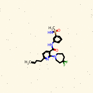 C=CCCc1ccc(C(=O)Nc2cccc([S@@](C)(=N)=O)c2)c(N2CCCC(F)(F)CC2)n1